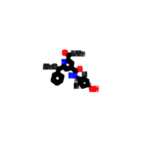 CNC(=O)c1cc(C(=O)N[C@H]2[C@@H]3C[C@H](O)C[C@@H]32)cc(C(OC)c2ccccc2)n1